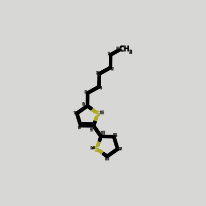 CCCCCCC1CC=C(C2CCCS2)S1